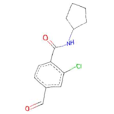 O=Cc1ccc(C(=O)NC2CCCC2)c(Cl)c1